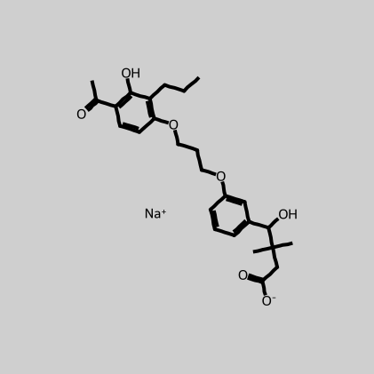 CCCc1c(OCCCOc2cccc(C(O)C(C)(C)CC(=O)[O-])c2)ccc(C(C)=O)c1O.[Na+]